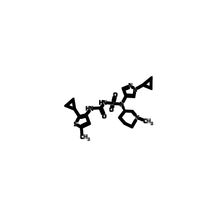 Cc1cc(NC(=O)NS(=O)(=O)N(c2cnn(C3CC3)c2)[C@@H]2CCCN(C)C2)c(C2CC2)s1